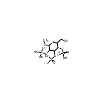 CO[C@H]1OC(CO)[C@@H](OP(=O)(O)O)C(OP(=O)(O)O)[C@H]1O[PH](O)(O)O